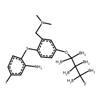 BC(B)(F)C(B)(B)C(B)(B)Oc1ccc(Sc2ccc(I)cc2N)c(CN(C)C)c1